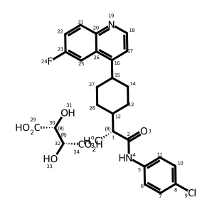 C[C@@H](C(=O)Nc1ccc(Cl)cc1)C1CCC(c2ccnc3ccc(F)cc23)CC1.O=C(O)[C@H](O)[C@@H](O)C(=O)O